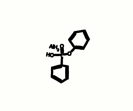 O=P(O)(Oc1ccccc1)c1ccccc1.[AlH3]